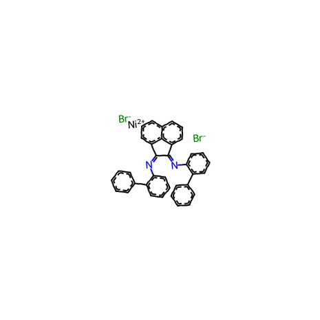 [Br-].[Br-].[Ni+2].c1ccc(-c2ccccc2N=C2C(=Nc3ccccc3-c3ccccc3)c3cccc4cccc2c34)cc1